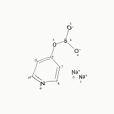 [Na+].[Na+].[O-]B([O-])Oc1ccncc1